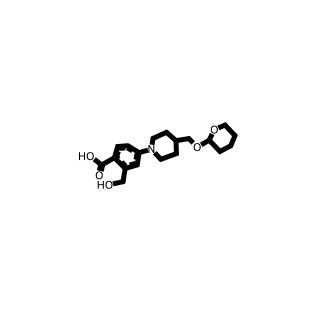 O=C(O)c1ccc(N2CCC(COC3CCCCO3)CC2)cc1CO